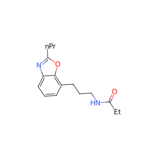 CCCc1nc2cccc(CCCNC(=O)CC)c2o1